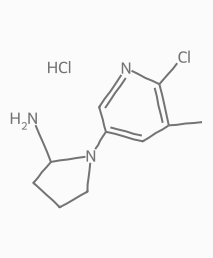 Cc1cc(N2CCCC2N)cnc1Cl.Cl